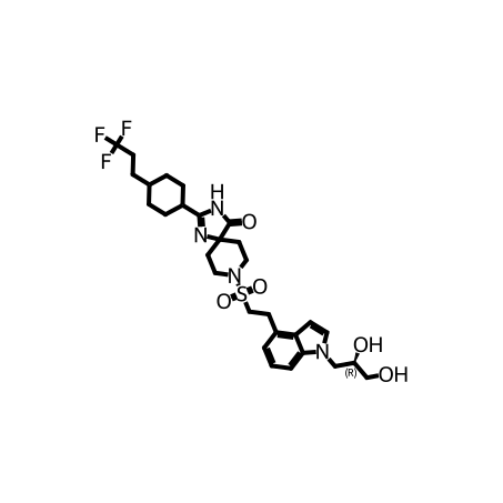 O=C1NC(C2CCC(CCC(F)(F)F)CC2)=NC12CCN(S(=O)(=O)CCc1cccc3c1ccn3C[C@@H](O)CO)CC2